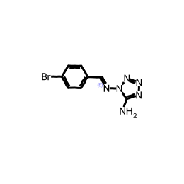 Nc1nnnn1/N=C/c1ccc(Br)cc1